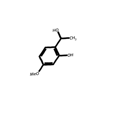 COc1ccc(C(C)O)c(O)c1